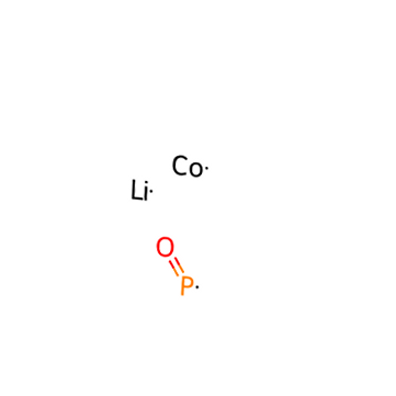 O=[P].[Co].[Li]